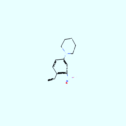 C=Cc1ccc(N2CCCCC2)cc1[N+](=O)[O-]